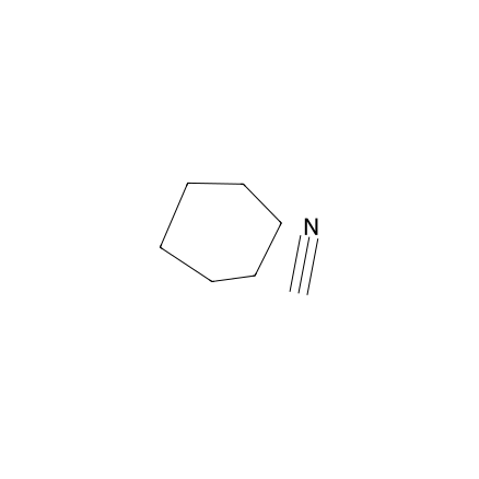 C#N.C1CCCCC1